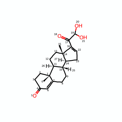 C[C@]12CCC(=O)C=C1CC[C@@H]1[C@@H]2CC[C@]2(C)C(C(=O)C(O)O)=CC[C@@H]12